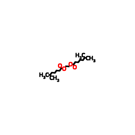 CC(C)CCCCC(=O)OCCOC(=O)CCCCC(C)C